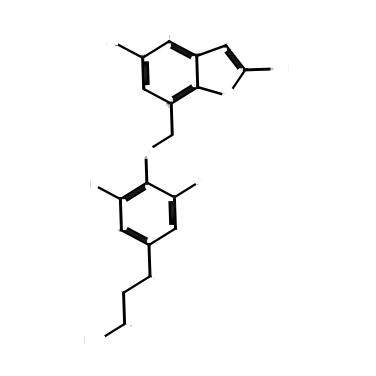 Cc1cc2cc(Cl)cc(COc3c(F)cc(CCCO)cc3F)c2s1